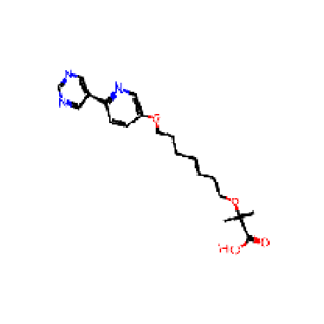 CC(C)(OCCCCCCCOc1ccc(-c2cncnc2)nc1)C(=O)O